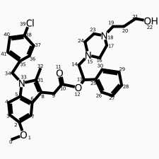 COc1ccc2c(c1)c(CC(=O)OC(CN1CCN(CCCO)CC1)c1ccccc1)c(C)n2Cc1ccc(Cl)cc1